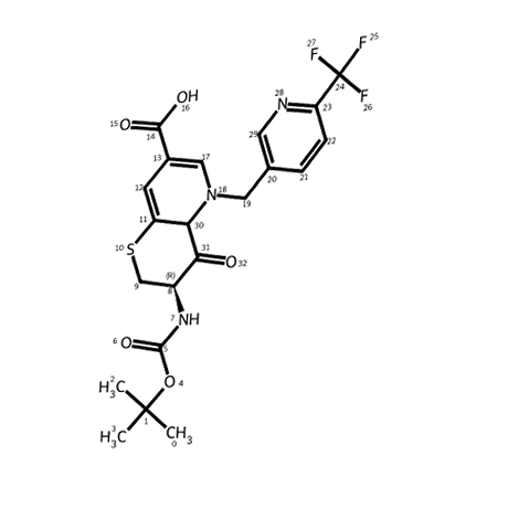 CC(C)(C)OC(=O)N[C@H]1CSC2=CC(C(=O)O)=CN(Cc3ccc(C(F)(F)F)nc3)C2C1=O